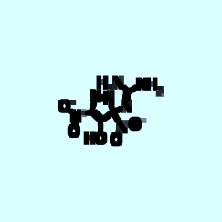 NC(N)=NC1([N+](=O)[O-])N=NC([N+](=O)[O-])=C1O